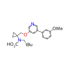 COc1cccc(-c2cncc(OCC3(N(CC(C)(C)C)C(=O)O)CC3)c2)c1